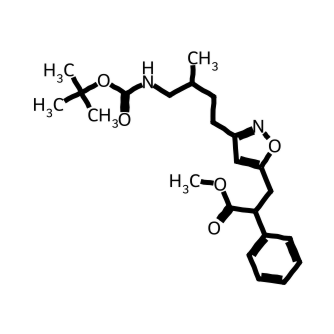 COC(=O)C(Cc1cc(CCC(C)CNC(=O)OC(C)(C)C)no1)c1ccccc1